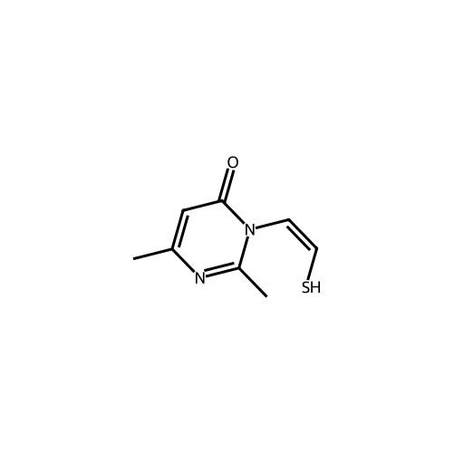 Cc1cc(=O)n(/C=C\S)c(C)n1